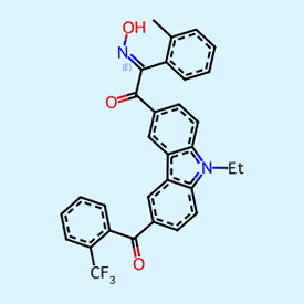 CCn1c2ccc(C(=O)/C(=N/O)c3ccccc3C)cc2c2cc(C(=O)c3ccccc3C(F)(F)F)ccc21